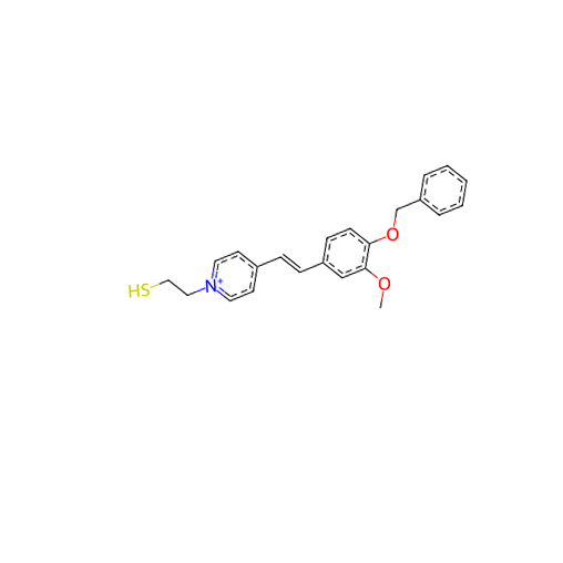 COc1cc(/C=C/c2cc[n+](CCS)cc2)ccc1OCc1ccccc1